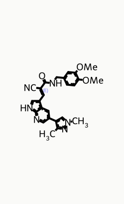 COc1ccc(CNC(=O)/C(C#N)=C/c2c[nH]c3ncc(-c4cn(C)nc4C)cc23)cc1OC